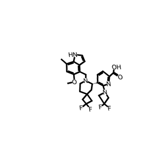 COc1cc(C)c2[nH]ccc2c1CN1CCC2(C[C@H]1c1ccc(C(=O)O)nc1N1CC(F)(F)C1)CC(F)(F)C2